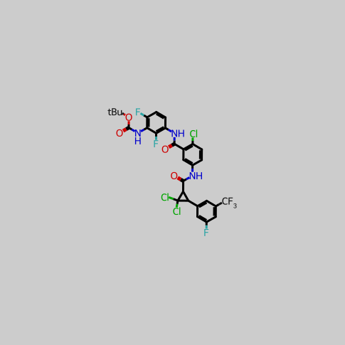 CC(C)(C)OC(=O)Nc1c(F)ccc(NC(=O)c2cc(NC(=O)C3C(c4cc(F)cc(C(F)(F)F)c4)C3(Cl)Cl)ccc2Cl)c1F